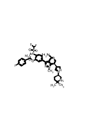 C[C@H](Oc1cc(-c2nn(C)c3c(-c4cnn(C5CCC(C)(C)NC5)c4)cnc(N)c23)ccc1NS(=O)(=O)C(F)F)c1ccc(F)cc1